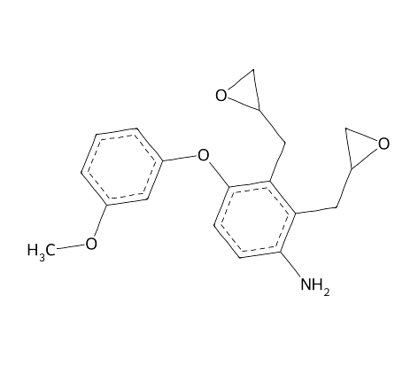 COc1cccc(Oc2ccc(N)c(CC3CO3)c2CC2CO2)c1